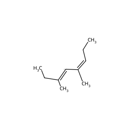 CC/C=C(C)\[C]=C(/C)CC